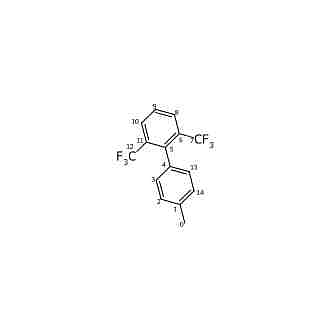 Cc1ccc(-c2c(C(F)(F)F)c[c]cc2C(F)(F)F)cc1